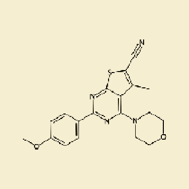 COc1ccc(-c2nc(N3CCOCC3)c3c(C)c(C#N)sc3n2)cc1